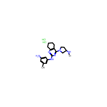 CCNC1CCN(c2nc(Nc3cc(N)cc(C#N)c3)nc3c2CCCC3)C1.Cl.Cl